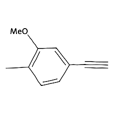 C#Cc1ccc(C)c(OC)c1